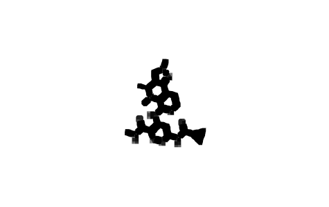 CNC(=O)c1nnc(NC(=O)C2CC2)cc1Nc1nccc2c1N(C)[C@@H](C)c1cn(C)nc1-2